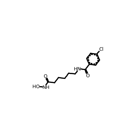 O=C(CCCCCNC(=O)c1ccc(Cl)cc1)NO